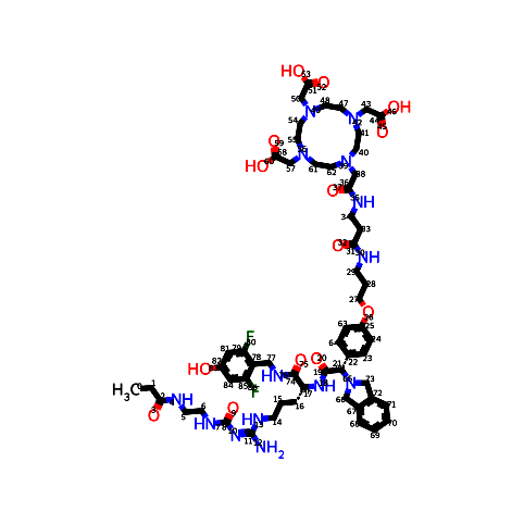 CCC(=O)NCCNC(=O)/N=C(/N)NCCC[C@@H](NC(=O)[C@H](c1ccc(OCCCNC(=O)CCNC(=O)CN2CCN(CC(=O)O)CCN(CC(=O)O)CCN(CC(=O)O)CC2)cc1)N1Cc2ccccc2C1)C(=O)NCc1c(F)cc(O)cc1F